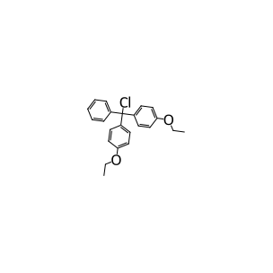 CCOc1ccc(C(Cl)(c2ccccc2)c2ccc(OCC)cc2)cc1